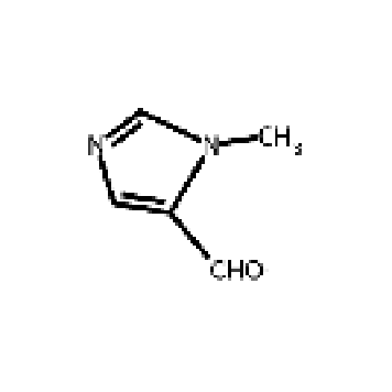 Cn1cncc1[C]=O